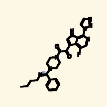 CCCC/N=C(\c1ccccc1)N1CCN(C(=O)C(=O)c2c[nH]c3c(-n4ccnn4)ncc(F)c23)CC1